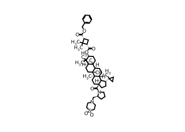 CC1([C@@H]2CC[C@]3(C(=O)N4CCC[C@H]4CN4CCS(=O)(=O)CC4)CC[C@]4(C)[C@H](CC[C@@H]5[C@@]6(C)CC[C@H](OC(=O)[C@H]7C[C@@H](C(=O)OCc8ccccc8)C7(C)C)C(C)(C)[C@@H]6CC[C@]54C)[C@@H]23)CC1